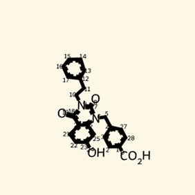 O=C(O)c1ccc(Cn2c(=O)n(CCc3ccccc3)c(=O)c3ccc(O)cc32)cc1